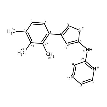 Cc1ccc(-c2csc(Nc3cnccn3)n2)c(C)c1C